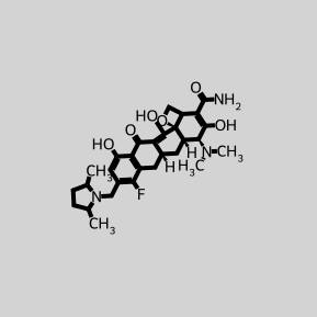 CC1CCC(C)N1Cc1cc(O)c2c(c1F)C[C@H]1C[C@H]3[C@H](N(C)C)C(O)=C(C(N)=O)C4CO[C@@]43C(O)=C1C2=O